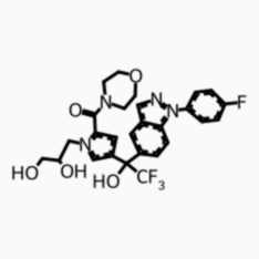 O=C(c1cc(C(O)(c2ccc3c(cnn3-c3ccc(F)cc3)c2)C(F)(F)F)cn1CC(O)CO)N1CCOCC1